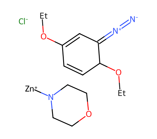 CCOC1=CC(=[N+]=[N-])C(OCC)C=C1.[Cl-].[Zn+][N]1CCOCC1